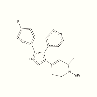 CCCN1CCC(c2c[nH]c(-c3ccc(F)cc3)c2-c2ccncc2)=CC1C